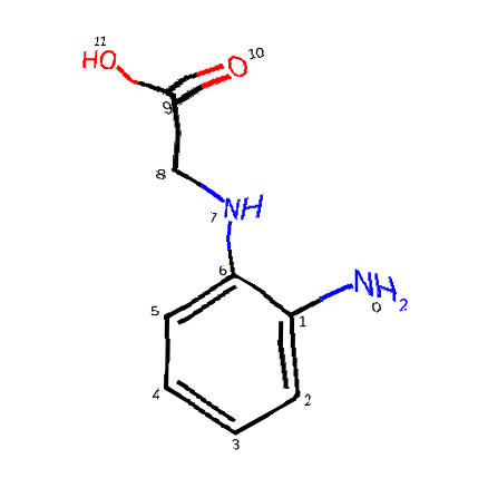 Nc1ccccc1NCC(=O)O